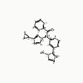 CC(C)n1cnnc1-c1cccc(N(C(=O)c2ccccn2)n2cnc(C3CC3)c2)c1